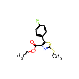 CCOC(=O)c1nc(SC)sc1-c1ccc(F)cc1